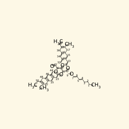 CCCCC=CC=COC[C@@H](OC=CC=CCCCC)[C@@H](OC=CC=CCCCC)[C@H](OC=CC=CCCCC)[C@H](C=O)OC=CC=CCCCC